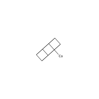 [Co][C]12C3C4C5C3C1C5C42